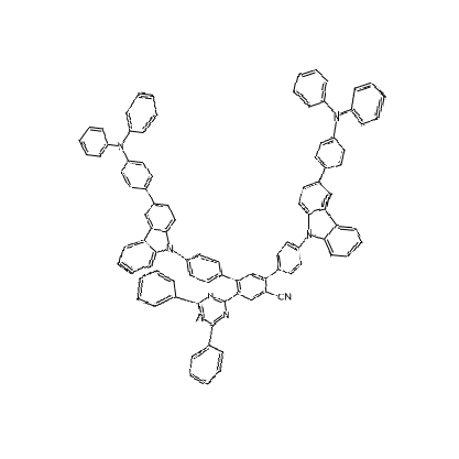 N#Cc1cc(-c2nc(-c3ccccc3)nc(-c3ccccc3)n2)c(-c2ccc(-n3c4ccccc4c4cc(-c5ccc(N(c6ccccc6)c6ccccc6)cc5)ccc43)cc2)cc1-c1ccc(-n2c3ccccc3c3cc(-c4ccc(N(c5ccccc5)c5ccccc5)cc4)ccc32)cc1